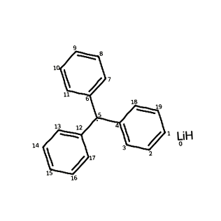 [LiH].c1ccc([C](c2ccccc2)c2ccccc2)cc1